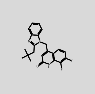 CC(C)(C)Cc1nc2ccccc2n1Cc1cc(=O)[nH]c2c(F)c(F)ccc12